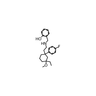 CCC1(OC)CCCC(CCNCc2ccccc2O)(c2ccc(F)cc2)C1